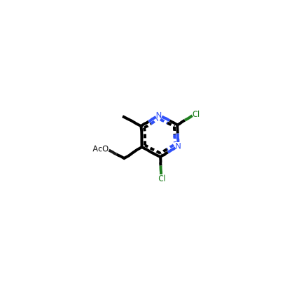 CC(=O)OCc1c(C)nc(Cl)nc1Cl